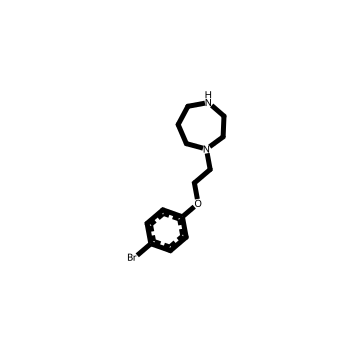 Brc1ccc(OCCN2CCCNCC2)cc1